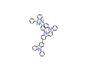 c1ccc(-c2nc(-c3ccc(-n4c5ccc(-c6ccc7c(c6)c6ccccc6n7-c6ccccc6)cc5c5ccc6c7ccccc7n(-c7ccccc7)c6c54)cc3)nc3ccccc23)cc1